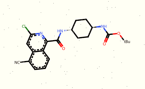 CC(C)(C)OC(=O)N[C@H]1CC[C@H](NC(=O)c2nc(Cl)cc3c(C#N)cccc23)CC1